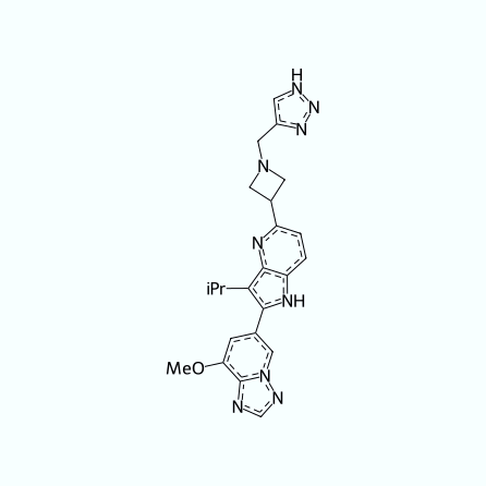 COc1cc(-c2[nH]c3ccc(C4CN(Cc5c[nH]nn5)C4)nc3c2C(C)C)cn2ncnc12